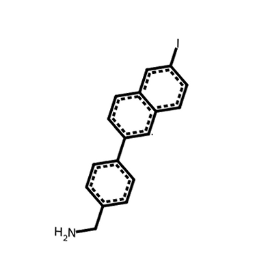 NCc1ccc(-c2[c]c3ccc(I)cc3cc2)cc1